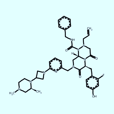 C=CCN1CC(=O)N2[C@@H](Cc3ccc(O)cc3F)C(=O)N(Cc3cccc(N4CC(N5CCN(C)C[C@@H]5C)C4)n3)C[C@@H]2N1C(=O)NCc1ccccc1